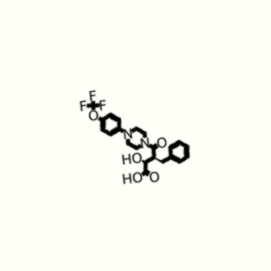 O=C(O)[C@@H](O)[C@H](Cc1ccccc1)C(=O)N1CCN(c2ccc(OC(F)(F)F)cc2)CC1